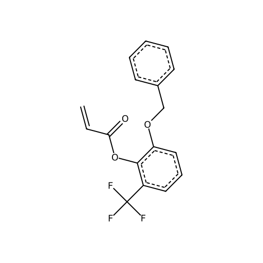 C=CC(=O)Oc1c(OCc2ccccc2)cccc1C(F)(F)F